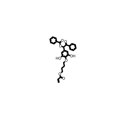 C=CC(=O)OCCCCOc1c(O)cc(C(OC(=O)c2ccccc2)C(=O)c2ccccc2)cc1O